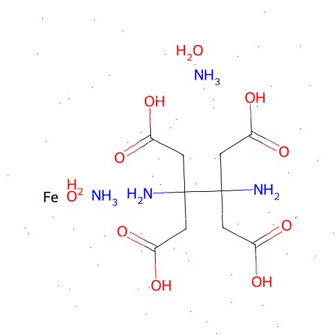 N.N.NC(CC(=O)O)(CC(=O)O)C(N)(CC(=O)O)CC(=O)O.O.O.[Fe]